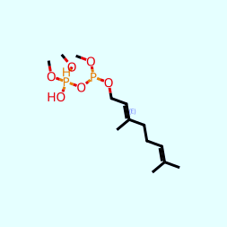 COP(OC/C=C(\C)CCC=C(C)C)O[PH](O)(OC)OC